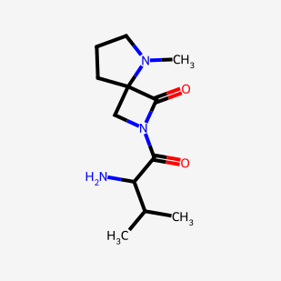 CC(C)C(N)C(=O)N1CC2(CCCN2C)C1=O